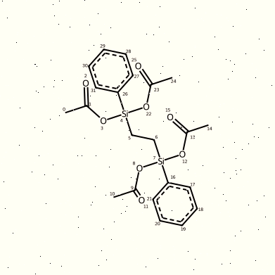 CC(=O)O[Si](CC[Si](OC(C)=O)(OC(C)=O)c1ccccc1)(OC(C)=O)c1ccccc1